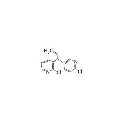 C=CC(c1ccc(Cl)nc1)c1[c]ccnc1Cl